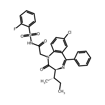 CC[C@H](C)[C@@H]1N=C(c2ccccc2)c2cc(Cl)ccc2N(CC(=O)NS(=O)(=O)c2ccccc2F)C1=O